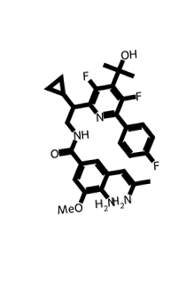 COc1cc(C(=O)NCC(c2nc(-c3ccc(F)cc3)c(F)c(C(C)(C)O)c2F)C2CC2)cc(/C=C(/C)N)c1N